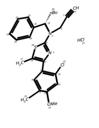 C#CCN(c1nc(-c2cc(C)c(OC)cc2Cl)c(C)s1)[C@@H](CCCC)c1ccccc1.Cl